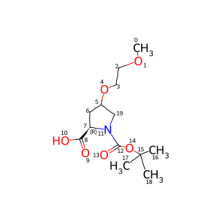 COCCOC1C[C@H](C(=O)O)N(C(=O)OC(C)(C)C)C1